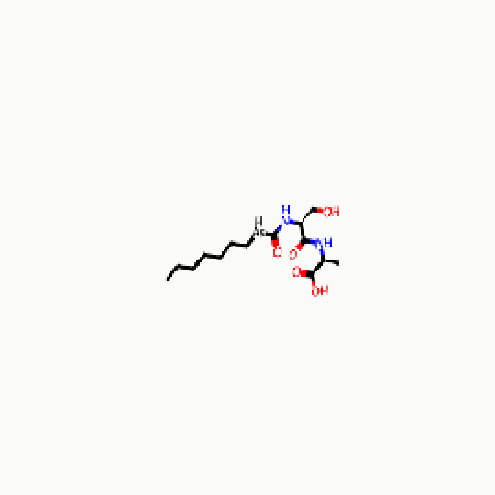 CCCCCCC[AsH]C(=O)N[C@@H](CO)C(=O)N[C@@H](C)C(=O)O